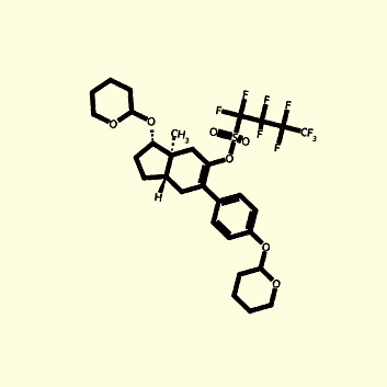 C[C@]12CC(OS(=O)(=O)C(F)(F)C(F)(F)C(F)(F)C(F)(F)F)=C(c3ccc(OC4CCCCO4)cc3)C[C@@H]1CC[C@@H]2OC1CCCCO1